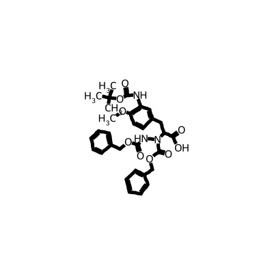 COc1ccc(CC(C(=O)O)N(NC(=O)OCc2ccccc2)C(=O)OCc2ccccc2)cc1NC(=O)OC(C)(C)C